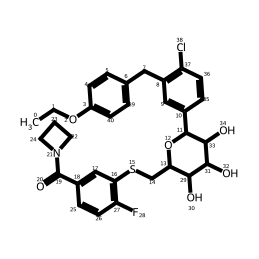 CCOc1ccc(Cc2cc(C3OC(CSc4cc(C(=O)N5CCC5)ccc4F)C(O)C(O)C3O)ccc2Cl)cc1